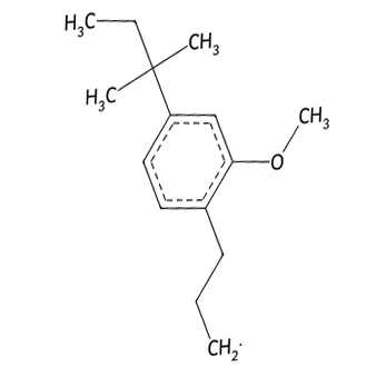 [CH2]CCc1ccc(C(C)(C)CC)cc1OC